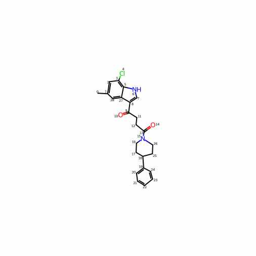 Cc1cc(Cl)c2[nH]cc(C(=O)CCC(=O)N3CCC(c4ccccc4)CC3)c2c1